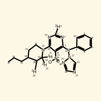 [2H]c1nc(N(c2ccccc2)n2cncn2)c([N+](=O)[O-])c(N2CCC(CCC)C([2H])C2([2H])[2H])n1